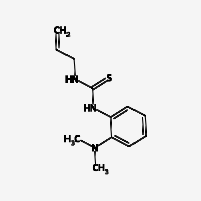 C=CCNC(=S)Nc1ccccc1N(C)C